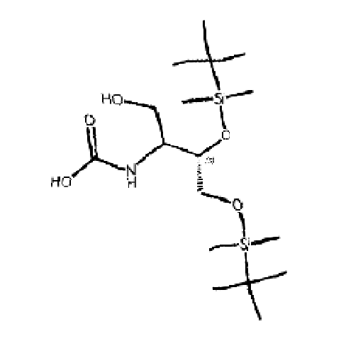 CC(C)(C)[Si](C)(C)OC[C@@H](O[Si](C)(C)C(C)(C)C)C(CO)NC(=O)O